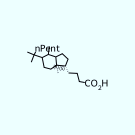 CCCCCC(C)(C)C1CC[C@@]2(C)C(CC[C@@H]2CCCC(=O)O)C1C